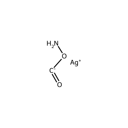 NO[C-]=O.[Ag+]